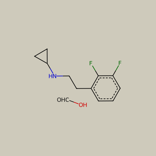 Fc1cccc(CCNC2CC2)c1F.O=CO